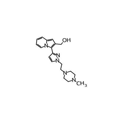 CN1CCN(CCn2ccc(-c3c(CO)cc4ccccn34)n2)CC1